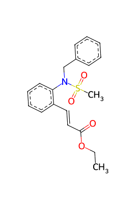 CCOC(=O)C=Cc1ccccc1N(Cc1ccccc1)S(C)(=O)=O